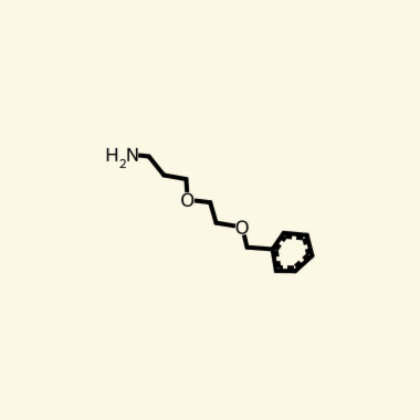 NCCCOCCOCc1ccccc1